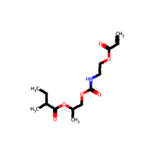 C=CC(=O)OCCNC(=O)OCC(C)OC(=O)C(C)CC